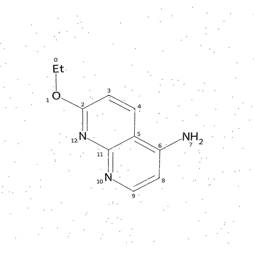 CCOc1ccc2c(N)ccnc2n1